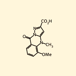 COc1cccc2c(=O)n3nc(C(=O)O)cc3n(C)c12